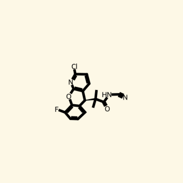 CC(C)(C(=O)NC#N)[C@@H]1c2ccc(Cl)nc2Oc2c(F)cccc21